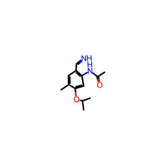 CC(=O)Nc1cc(OC(C)C)c(C)cc1C=N